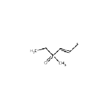 CCP(C)(=O)/C=C/F